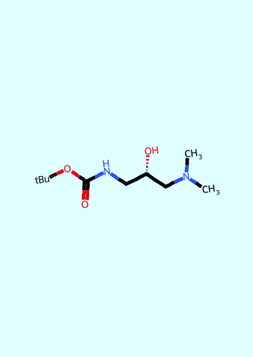 CN(C)C[C@@H](O)CNC(=O)OC(C)(C)C